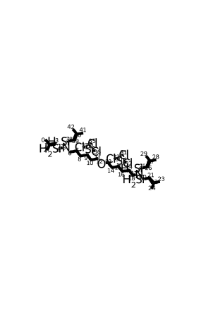 CC(C)=C[SiH2]N(CCCC(CCOCCC(CCCN([SiH2]C=C(C)C)[SiH2]C=C(C)C)[Si](Cl)(Cl)Cl)[Si](Cl)(Cl)Cl)[SiH2]C=C(C)C